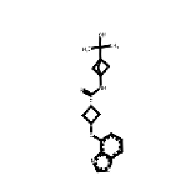 CC(C)(O)C12CC(NC(=O)[C@H]3C[C@H](Oc4cccc5scnc45)C3)(C1)C2